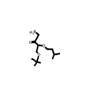 BCC(=O)C(COC(C)(C)C)OCCC(C)C